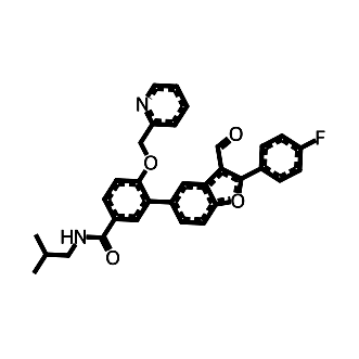 CC(C)CNC(=O)c1ccc(OCc2ccccn2)c(-c2ccc3oc(-c4ccc(F)cc4)c(C=O)c3c2)c1